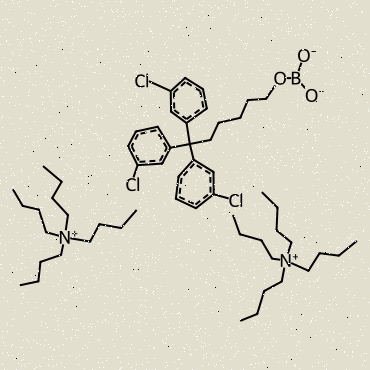 CCCC[N+](CCCC)(CCCC)CCCC.CCCC[N+](CCCC)(CCCC)CCCC.[O-]B([O-])OCCCCCC(c1cccc(Cl)c1)(c1cccc(Cl)c1)c1cccc(Cl)c1